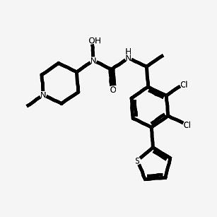 CC(NC(=O)N(O)C1CCN(C)CC1)c1ccc(-c2cccs2)c(Cl)c1Cl